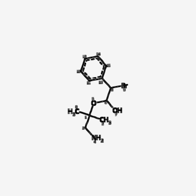 CC(C)(CN)OC(O)C(Br)c1ccccc1